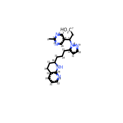 Cc1ncc(C(CC(=O)O)n2nccc2CCCC2CCc3cccnc3N2)cn1